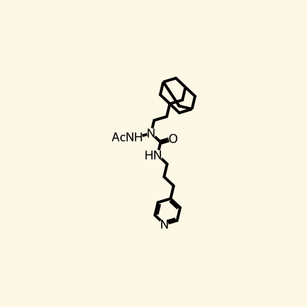 CC(=O)NN(CCC12CC3CC(CC(C3)C1)C2)C(=O)NCCCc1ccncc1